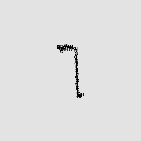 O=C(CCOCCOCCOCCOCCOCCOCCOCCOCCOCCOCCOCCOCCn1cc(-c2cnc(N3CC(C(=O)N4CCC5(CC4)NC(=O)N(Cc4ccccc4)C5=O)C3)nc2)nn1)ON1C(=O)CCC1=O